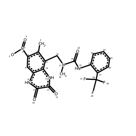 Cc1c([N+](=O)[O-])cc2[nH]c(=O)c(=O)[nH]c2c1CN(C)C(=O)Nc1ccccc1C(F)(F)F